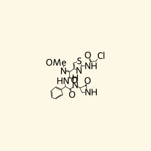 CON=C(C(=O)NC(C(=O)NC1CNC1=O)c1ccccc1)c1csc(NC(=O)CCl)n1